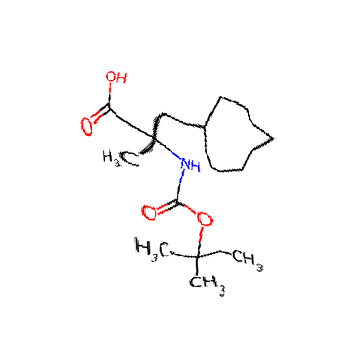 CC(C)(C)OC(=O)NC(C)(CC1CCCCC1)C(=O)O